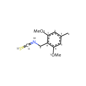 COc1cc(C)cc(OC)c1CN=C=S